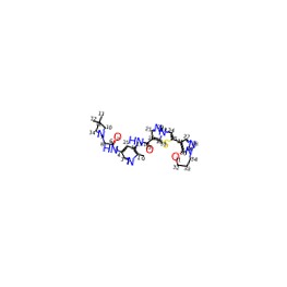 Cc1ncc(NC(=O)CN2CC(C)(C)C2)cc1NC(=O)c1cnn2cc(-c3cnn4c3OCCC4)sc12